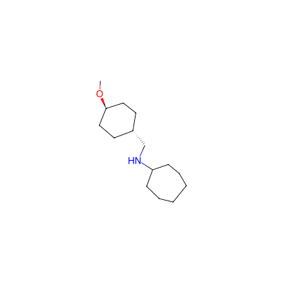 CO[C@H]1CC[C@H](CNC2CCCCCC2)CC1